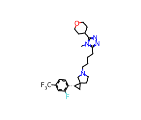 Cn1c(CCCCN2CCC3(C[C@@H]3c3ccc(C(F)(F)F)cc3F)C2)nnc1C1CCOCC1